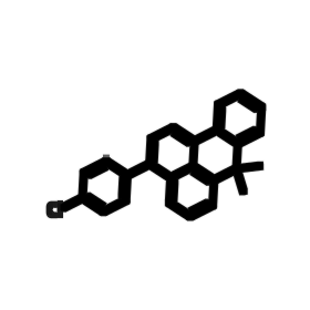 CC1(C)c2ccccc2-c2ccc(-c3[c]cc(Cl)cc3)c3cccc1c23